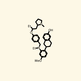 CCC(CC1CCCN1C)Oc1ccc(CN(CC)c2cc(OC)ccc2C2CCc3cc(O)ccc3C2)cc1